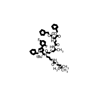 C[C@H](CSCC(=O)N(CCCNC(=O)OCC[Si](C)(C)C)[C@@H](c1cc(-c2cc(F)ccc2F)cn1Cc1ccccc1)C(C)(C)C)NC(=O)CC[C@H](NC(=O)OCc1ccccc1)C(=O)OCc1ccccc1